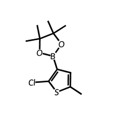 Cc1cc(B2OC(C)(C)C(C)(C)O2)c(Cl)s1